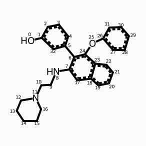 Oc1cccc(-c2c(NCCN3CCCCC3)cc3ccccc3c2Oc2ccccc2)c1